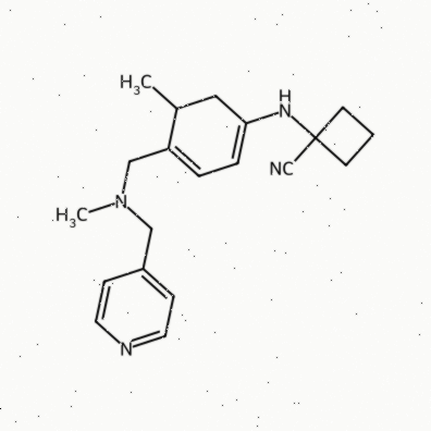 CC1CC(NC2(C#N)CCC2)=CC=C1CN(C)Cc1ccncc1